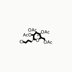 CC(=O)OCC1O[C@H](CCCCl)C(OC(C)=O)C(OC(C)=O)[C@@H]1OC(C)=O